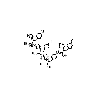 CC(C)(C)[C@H](O)[C@H](Cc1ccc(Cl)cc1)n1cncn1.CC(C)(C)[C@H](O)[C@H](Cc1ccc(Cl)cc1)n1cncn1.CC(C)(C)[C@H](O)[C@H](Cc1ccc(Cl)cc1)n1cncn1.CC(C)(C)[C@H](O)[C@H](Cc1ccc(Cl)cc1)n1cncn1